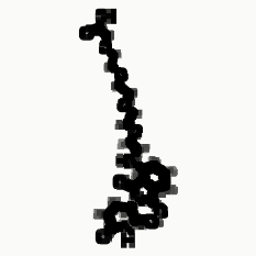 O=C(O)COCCOCCOCCOCCNc1cccc2c1C(=O)N(C1CCC(=O)NC1=O)C2=O